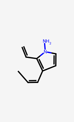 C=Cc1c(/C=C\C)ccn1N